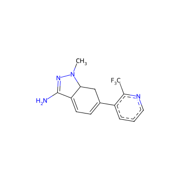 CN1N=C(N)C2=CC=C(c3cccnc3C(F)(F)F)CC21